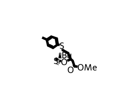 COC(=O)CC(CCSc1ccc(C)cc1)O[Si](C)(C)C(C)(C)C